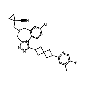 Cc1cc(N2CC3(CC(c4nnc5n4-c4ccc(Cl)cc4CN(CC4(C#N)CC4)C5)C3)C2)ncc1F